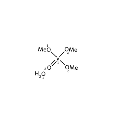 C[O][V](=[O])([O]C)[O]C.O